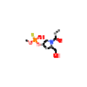 CCC(=O)N1CC(OP(O)(=S)OC)CC1CO